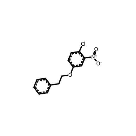 O=[N+]([O-])c1cc(OCCc2ccccc2)ccc1Cl